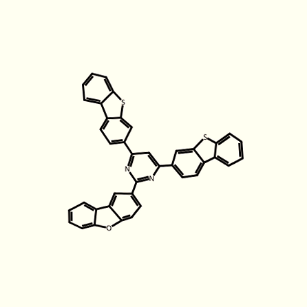 c1ccc2c(c1)oc1ccc(-c3nc(-c4ccc5c(c4)sc4ccccc45)cc(-c4ccc5c(c4)sc4ccccc45)n3)cc12